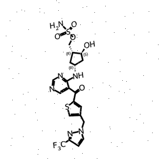 NS(=O)(=O)OC[C@H]1C[C@@H](Nc2ncncc2C(=O)c2cc(Cn3ccc(C(F)(F)F)n3)cs2)C[C@@H]1O